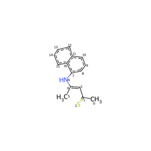 CC(=S)C=C(C)Nc1cccc2ccccc12